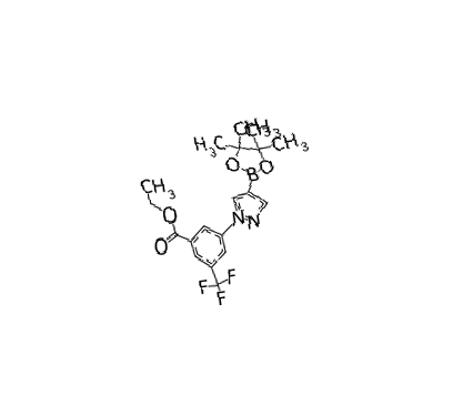 CCOC(=O)c1cc(-n2cc(B3OC(C)(C)C(C)(C)O3)cn2)cc(C(F)(F)F)c1